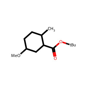 COC1CCC(C)C(C(=O)OC(C)(C)C)C1